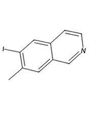 Cc1cc2cnccc2cc1I